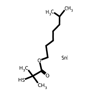 CC(C)CCCCCOC(=O)C(C)(C)S.[Sn]